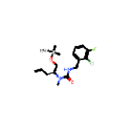 C=CC[C@@H](CO[Si](C)(C)C(C)(C)C)N(C)C(=O)NCc1cccc(F)c1Cl